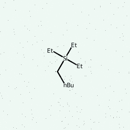 CCCC[CH][Si](CC)(CC)CC